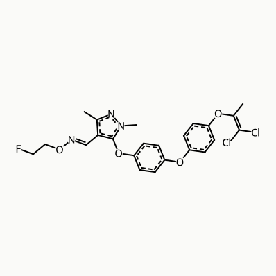 CC(Oc1ccc(Oc2ccc(Oc3c(/C=N/OCCF)c(C)nn3C)cc2)cc1)=C(Cl)Cl